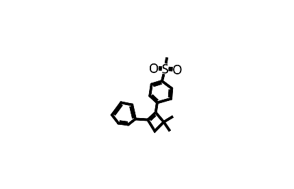 CC1(C)CC(c2ccccc2)=C1c1ccc(S(C)(=O)=O)cc1